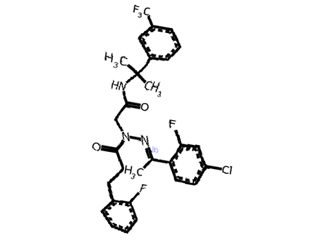 C/C(=N\N(CC(=O)NC(C)(C)c1cccc(C(F)(F)F)c1)C(=O)CCc1ccccc1F)c1ccc(Cl)cc1F